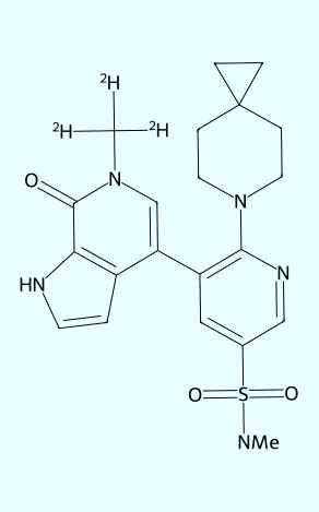 [2H]C([2H])([2H])n1cc(-c2cc(S(=O)(=O)NC)cnc2N2CCC3(CC2)CC3)c2cc[nH]c2c1=O